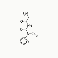 CN(C(=O)NC(=O)CN)c1ccco1